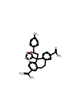 C=C(N)c1ccc2c(c1)CCc1cc(C(N)=O)ccc1C2(C[C@@H](N)c1ccc(C)cc1)c1nnn[nH]1